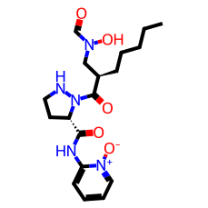 CCCCC[C@H](CN(O)C=O)C(=O)N1NCC[C@H]1C(=O)Nc1cccc[n+]1[O-]